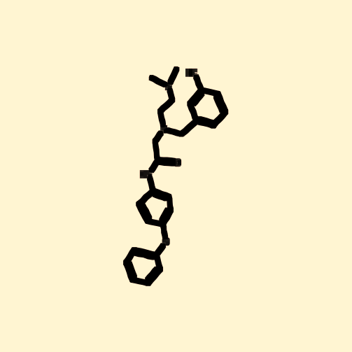 CN(C)CCN(CC(=O)Nc1ccc(Oc2ccccc2)cc1)Cc1cccc(C#N)c1